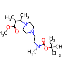 COC(=O)[C@@H](C)C(C)N1CCN(CCN(C)C(=O)OC(C)(C)C)CC1